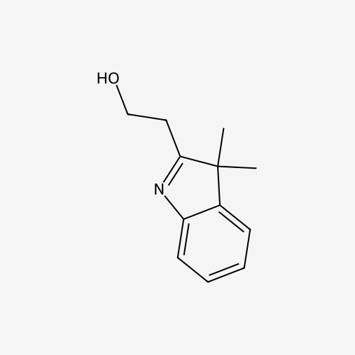 CC1(C)C(CCO)=Nc2ccccc21